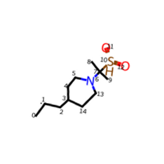 C[CH]CC1CCN(C(C)(C)[SH](=O)=O)CC1